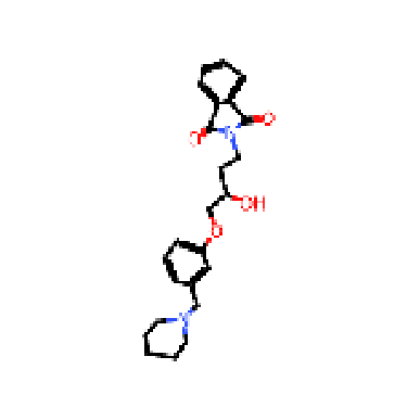 O=C1c2ccccc2C(=O)N1CCC(O)COc1cccc(CN2CCCCC2)c1